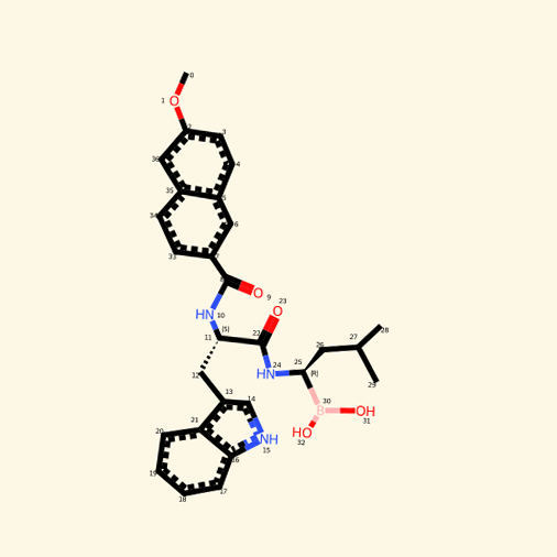 COc1ccc2cc(C(=O)N[C@@H](Cc3c[nH]c4ccccc34)C(=O)N[C@@H](CC(C)C)B(O)O)ccc2c1